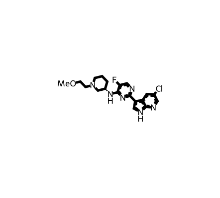 COCCN1CCC[C@H](Nc2nc(-c3c[nH]c4ncc(Cl)cc34)ncc2F)C1